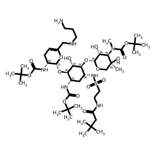 CN(C(=O)OC(C)(C)C)[C@@H]1[C@@H](O)[C@@H](O[C@@H]2[C@@H](O)[C@H](O[C@H]3OC(CNCCCN)=CC[C@H]3NC(=O)OC(C)(C)C)[C@@H](NC(=O)OC(C)(C)C)C[C@H]2NS(=O)(=O)CCNC(=O)CC(C)(C)C)OC[C@]1(C)O